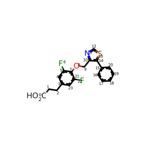 O=C(O)CCc1cc(F)c(OCc2ncsc2-c2ccccc2)c(F)c1